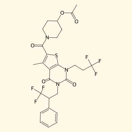 CC(=O)OC1CCN(C(=O)c2sc3c(c2C)c(=O)n(CC(c2ccccc2)C(F)(F)F)c(=O)n3CCC(F)(F)F)CC1